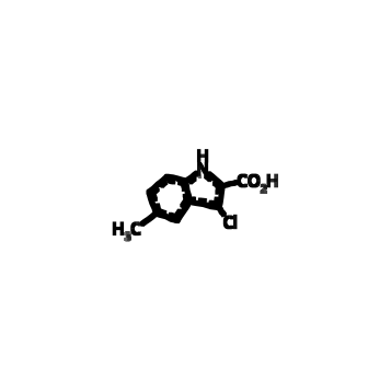 Cc1ccc2[nH]c(C(=O)O)c(Cl)c2c1